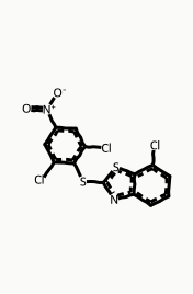 O=[N+]([O-])c1cc(Cl)c(Sc2nc3cccc(Cl)c3s2)c(Cl)c1